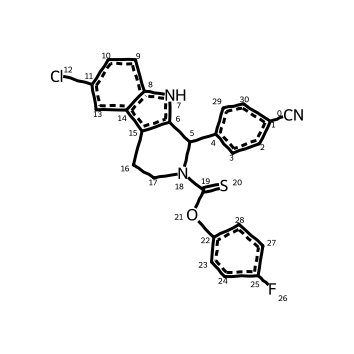 N#Cc1ccc(C2c3[nH]c4ccc(Cl)cc4c3CCN2C(=S)Oc2ccc(F)cc2)cc1